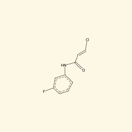 O=C(/C=C/Cl)Nc1cccc(F)c1